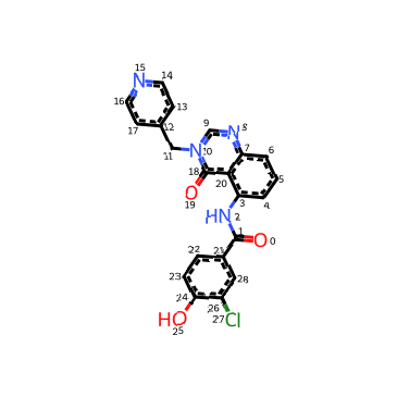 O=C(Nc1cccc2ncn(Cc3ccncc3)c(=O)c12)c1ccc(O)c(Cl)c1